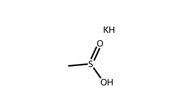 CS(=O)O.[KH]